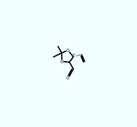 C=C[C@H]1OC(C)(C)OC1C=O